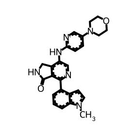 Cn1ccc2c(-c3ncc(Nc4ccc(N5CCOCC5)cn4)c4c3C(=O)NC4)cccc21